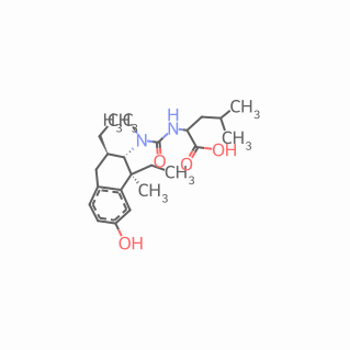 CC[C@@H]1Cc2ccc(O)cc2[C@](C)(CC)[C@H]1N(C)C(=O)NC(CC(C)C)C(=O)O